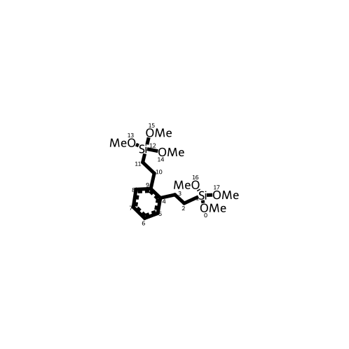 CO[Si](CCc1ccccc1CC[Si](OC)(OC)OC)(OC)OC